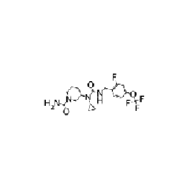 NC(=O)N1CCC[C@@H](N(C(=O)NCc2ccc(OC(F)(F)F)cc2F)C2CC2)C1